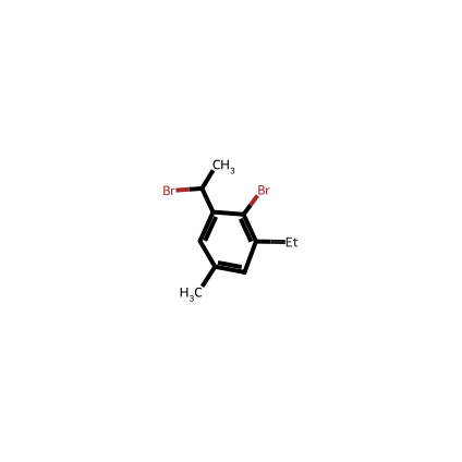 CCc1cc(C)cc(C(C)Br)c1Br